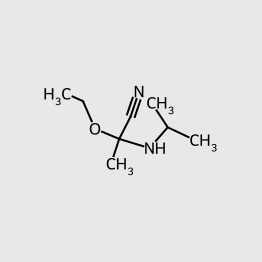 CCOC(C)(C#N)NC(C)C